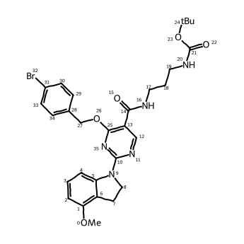 COc1cccc2c1CCN2c1ncc(C(=O)NCCCNC(=O)OC(C)(C)C)c(OCc2ccc(Br)cc2)n1